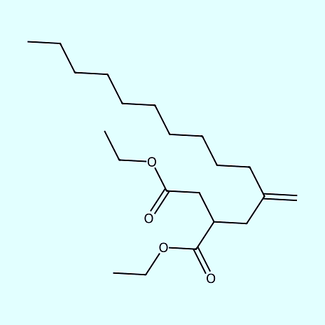 C=C(CCCCCCCCCC)CC(CC(=O)OCC)C(=O)OCC